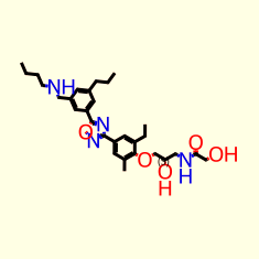 CCCCNCc1cc(CCC)cc(-c2nc(-c3cc(C)c(OC[C@@H](O)CNC(=O)CO)c(CC)c3)no2)c1